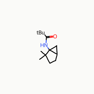 CC(C)(C)C(=O)NC12CC1CCC2(C)C